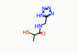 CC(S)C(=O)NCc1nnn[nH]1